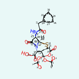 CC(=O)OC(OC(C)=O)(OC(C)=O)C1=C(C(=O)O)N2C(=O)[C@@H](NC(=O)Cc3ccccc3)[C@H]2SC1